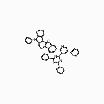 c1ccc(-c2cnc(-c3ccc4c(c3)oc3c4ccc4c3c3ccccc3n4-c3ccccc3)c(-c3nc(-c4ccccc4)nc(-c4ccccc4)n3)c2)cc1